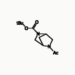 [CH2]C(=O)N1CC2CC1CN2C(=O)OC(C)(C)C